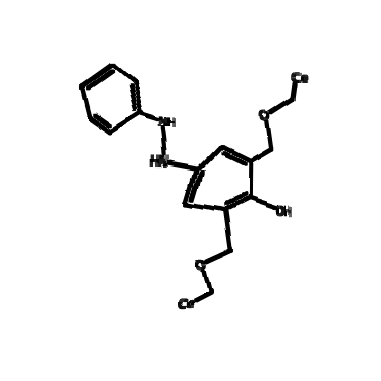 Oc1c(CO[CH2][Ce])cc(NNc2ccccc2)cc1CO[CH2][Ce]